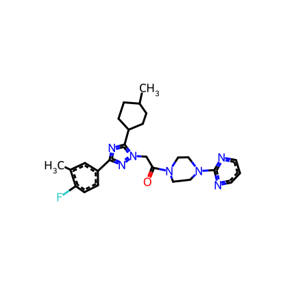 Cc1cc(-c2nc(C3CCC(C)CC3)n(CC(=O)N3CCN(c4ncccn4)CC3)n2)ccc1F